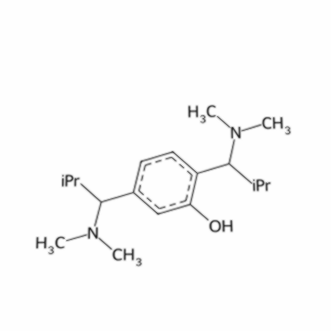 CC(C)C(c1ccc(C(C(C)C)N(C)C)c(O)c1)N(C)C